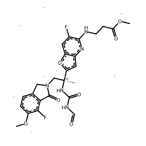 COC(=O)CCNc1nc2cc([C@](C)(CN3Cc4ccc(OC)c(F)c4C3=O)NC(=O)NC=O)oc2cc1F